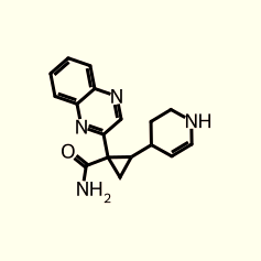 NC(=O)C1(c2cnc3ccccc3n2)CC1C1C=CNCC1